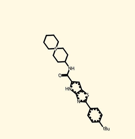 CC(C)(C)c1ccc(-c2nc3[nH]c(C(=O)NC4CCS5(CCCCC5)CC4)cc3s2)cc1